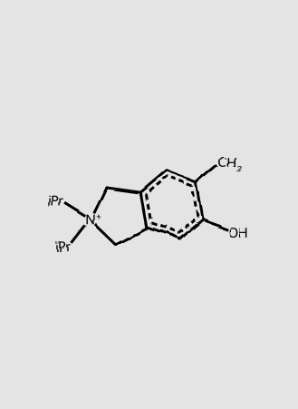 Cc1cc2c(cc1O)C[N+](C(C)C)(C(C)C)C2